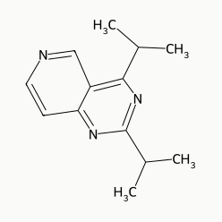 CC(C)c1nc(C(C)C)c2cnccc2n1